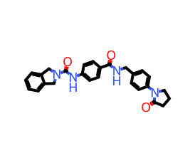 O=C(NCc1ccc(N2CCCC2=O)cc1)c1ccc(NC(=O)N2Cc3ccccc3C2)cc1